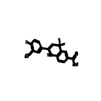 CC1(C)CC(c2ccc(F)c(Cl)c2)Nc2ccc(C(=O)O)cc21